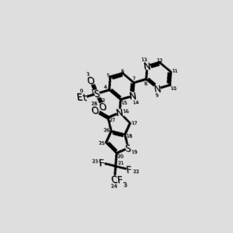 CCS(=O)(=O)c1ccc(-c2ncccn2)nc1N1Cc2sc(C(F)(F)C(F)(F)F)cc2C1=O